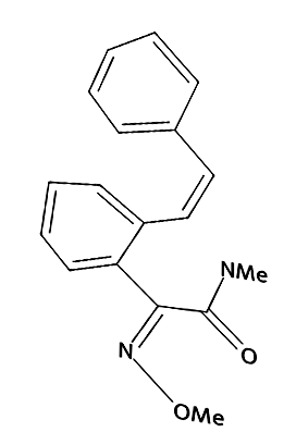 CNC(=O)/C(=N\OC)c1ccccc1/C=C\c1ccccc1